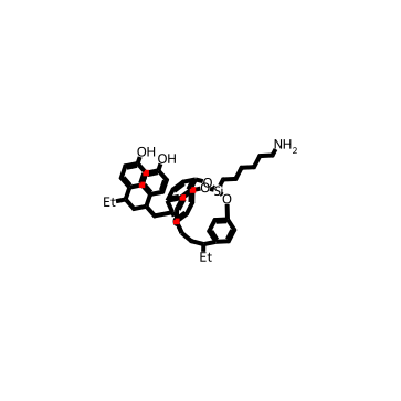 CCC(CC(CC1CC2CC(CC)c3ccc(cc3)O[Si](CCCCCCN)(Oc3ccc2cc3)Oc2ccc1cc2)c1ccc(O)cc1)c1ccc(O)cc1